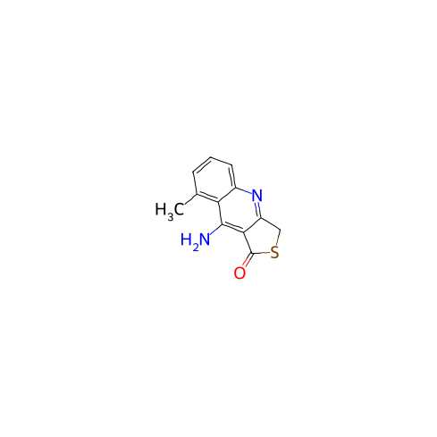 Cc1cccc2nc3c(c(N)c12)C(=O)SC3